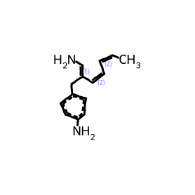 C\C=C/C=C\C(=C\N)Cc1ccc(N)cc1